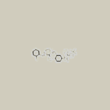 Cc1ccccc1CN1CCN(Cc2cccc(N(C)C(=O)OC(C)(C)C)c2)C1=O